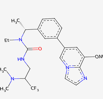 CCN(C(=O)NCC(N(C)C)C(F)(F)F)[C@H](C)c1cccc(-c2cc(OC)c3nccn3c2)c1